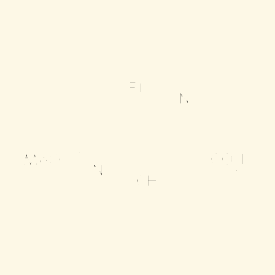 CCc1ncc(C(=O)O)cc1-c1ccc(OC)nc1C